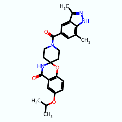 Cc1n[nH]c2c(C)cc(C(=O)N3CCC4(CC3)NC(=O)c3cc(OC(C)C)ccc3O4)cc12